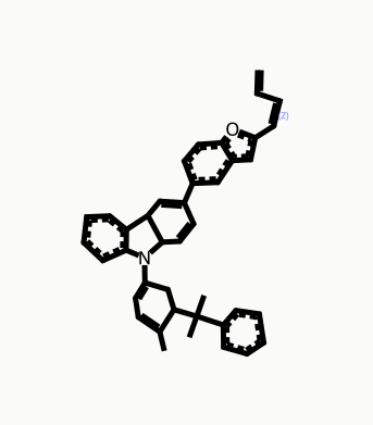 C=C/C=C\c1cc2cc(C3=CC4c5ccccc5N(C5=CC=C(C)C(C(C)(C)c6ccccc6)C5)C4C=C3)ccc2o1